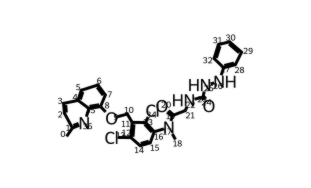 Cc1ccc2cccc(OCc3c(Cl)ccc(N(C)C(=O)CNC(=O)NNc4ccccc4)c3Cl)c2n1